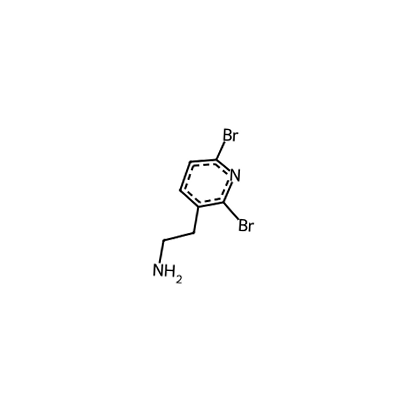 NCCc1ccc(Br)nc1Br